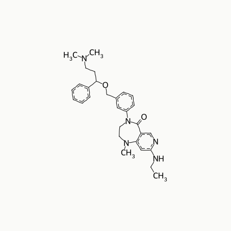 CCNc1cc2c(cn1)C(=O)N(c1cccc(COC(CCN(C)C)c3ccccc3)c1)CCN2C